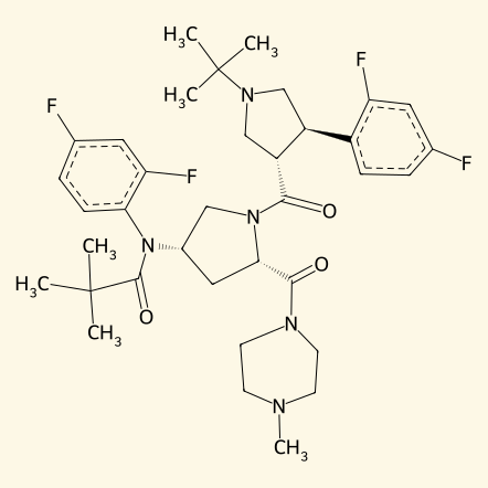 CN1CCN(C(=O)[C@@H]2C[C@H](N(C(=O)C(C)(C)C)c3ccc(F)cc3F)CN2C(=O)[C@@H]2CN(C(C)(C)C)C[C@H]2c2ccc(F)cc2F)CC1